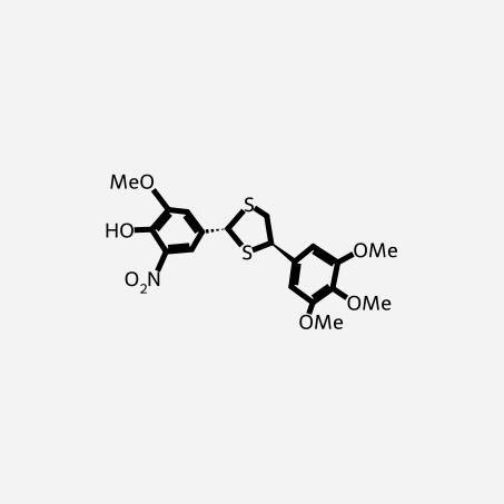 COc1cc([C@@H]2SC[C@@H](c3cc(OC)c(OC)c(OC)c3)S2)cc([N+](=O)[O-])c1O